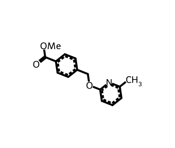 COC(=O)c1ccc(COc2cccc(C)n2)cc1